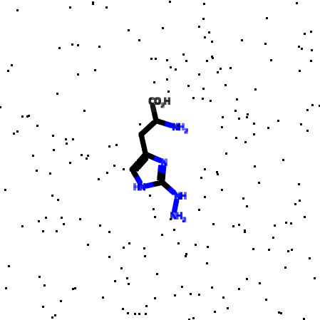 NNc1nc(CC(N)C(=O)O)c[nH]1